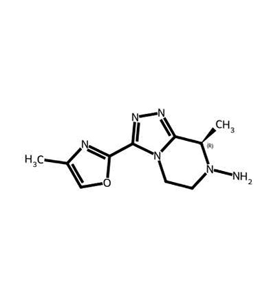 Cc1coc(-c2nnc3n2CCN(N)[C@@H]3C)n1